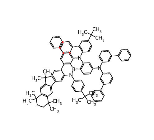 CC(C)(C)c1ccc(N2B3c4ccc(N(c5cccc(-c6ccccc6)c5)c5cccc(-c6ccccc6)c5)cc4N(c4ccc(C(C)(C)C)cc4-c4ccccc4)c4cc(-c5ccccc5)cc(c43)-c3cc4c(cc32)-c2cc3c(cc2C4(C)C)C(C)(C)CCC3(C)C)cc1